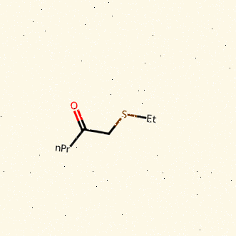 CCCC(=O)CSCC